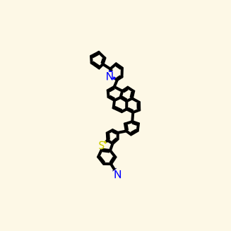 N#Cc1ccc2sc3ccc(-c4cccc(-c5ccc6ccc7c(-c8cccc(-c9ccccc9)n8)ccc8ccc5c6c87)c4)cc3c2c1